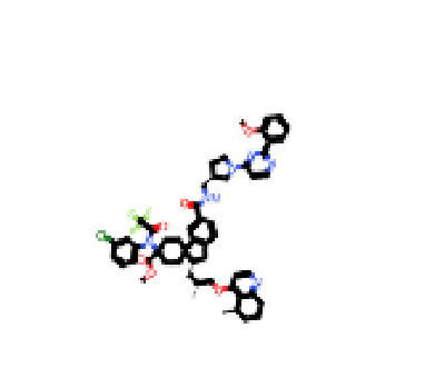 COC(=O)C1(N(C(=O)C(F)(F)F)c2cccc(Cl)c2)CCC2(CC1)c1cc(C(=O)NC[C@H]3CCN(c4ccnc(-c5ccccc5OC)n4)C3)ccc1C[C@@H]2C[C@@H](C)COc1ccnc2c1[C@H](C)CCC2